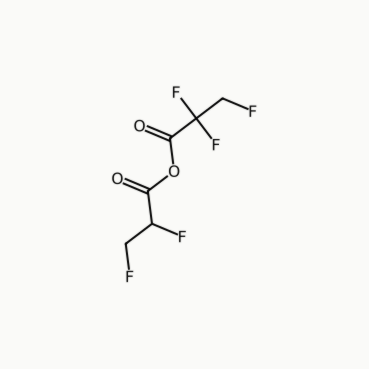 O=C(OC(=O)C(F)(F)CF)C(F)CF